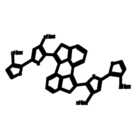 CCCCCCc1cc(-c2sccc2CCCCCC)sc1C1=c2c3cccc4c3c(c3cccc(c23)C1)=C(c1sc(-c2sccc2CCCCCC)cc1CCCCCC)C4